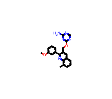 COc1cccc(-c2nc3c(C)cccc3cc2COc2ncnc(N)n2)c1